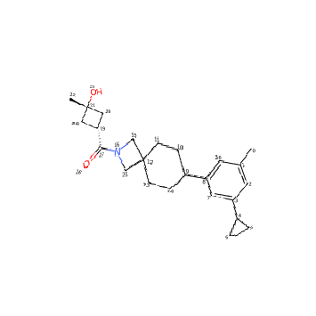 Cc1cc(C2CC2)cc(C2CCC3(CC2)CN(C(=O)[C@H]2C[C@@](C)(O)C2)C3)c1